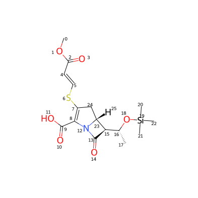 COC(=O)C=CSC1=C(C(=O)O)N2C(=O)[C@H]([C@@H](C)O[Si](C)(C)C)[C@H]2C1